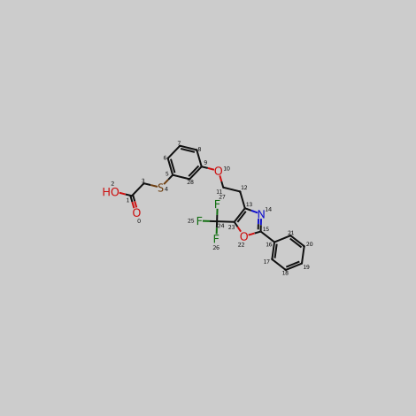 O=C(O)CSc1cccc(OCCc2nc(-c3ccccc3)oc2C(F)(F)F)c1